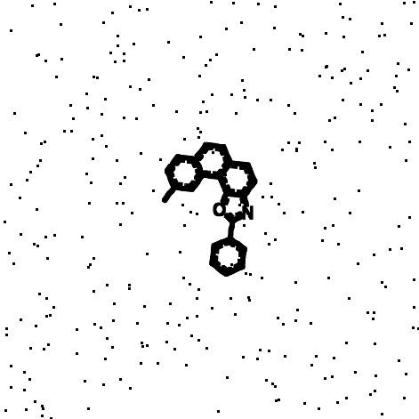 Cc1ccc2ccc3ccc4nc(-c5ccccc5)oc4c3c2c1